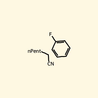 CCCCCCC#N.Fc1ccccc1